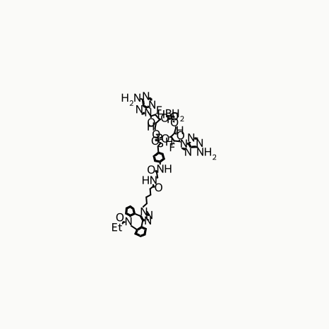 BP1(=O)OC[C@H]2O[C@@H](n3cnc4c(N)ncnc43)[C@H](F)[C@@H]2O[P@](=O)(SCc2ccc(NC(=O)CNC(=O)CCCCCn3nnc4c3-c3ccccc3N(C(=O)CC)Cc3ccccc3-4)cc2)OC[C@H]2O[C@@H](n3cnc4c(N)ncnc43)[C@H](F)[C@@H]2O1